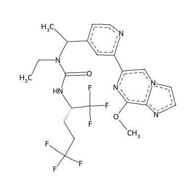 CCN(C(=O)N[C@@H](CCC(F)(F)F)C(F)(F)F)C(C)c1ccnc(-c2cn3ccnc3c(OC)n2)c1